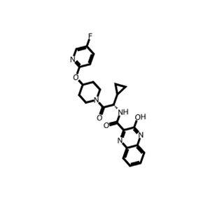 O=C(N[C@H](C(=O)N1CCC(Oc2ccc(F)cn2)CC1)C1CC1)c1nc2ccccc2nc1O